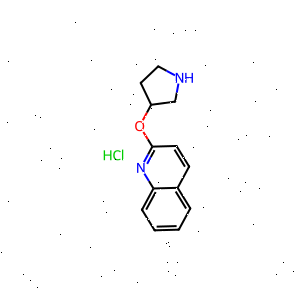 Cl.c1ccc2nc(OC3CCNC3)ccc2c1